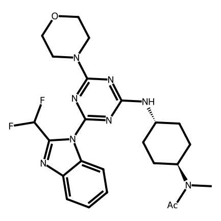 CC(=O)N(C)[C@H]1CC[C@H](Nc2nc(N3CCOCC3)nc(-n3c(C(F)F)nc4ccccc43)n2)CC1